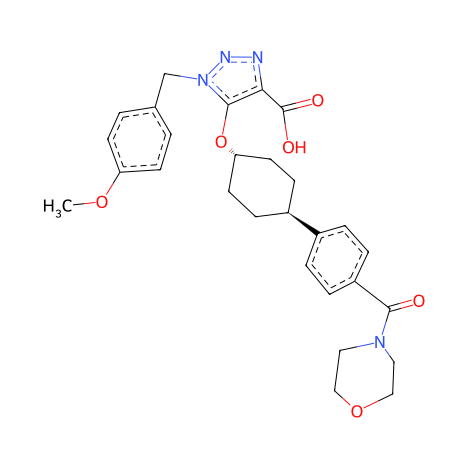 COc1ccc(Cn2nnc(C(=O)O)c2O[C@H]2CC[C@H](c3ccc(C(=O)N4CCOCC4)cc3)CC2)cc1